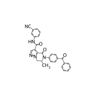 CC1Cn2ncc(C(=O)Nc3cccc(C#N)c3)c2C(=O)N1c1ccc(C(=O)c2ccccc2)cc1